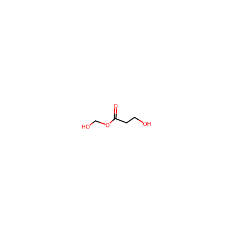 O=C(CCO)OCO